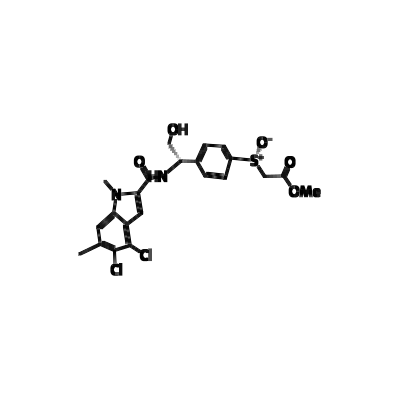 COC(=O)C[S@@+]([O-])c1ccc([C@@H](CO)NC(=O)c2cc3c(Cl)c(Cl)c(C)cc3n2C)cc1